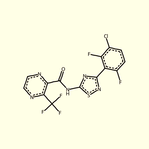 O=C(Nc1nc(-c2c(F)ccc(Cl)c2F)ns1)c1nccnc1C(F)(F)F